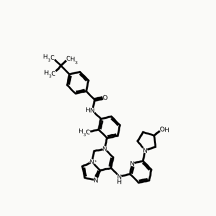 Cc1c(NC(=O)c2ccc(C(C)(C)C)cc2)cccc1N1C=C(Nc2cccc(N3CCC(O)C3)n2)C2=NC=C[N+]2C1